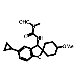 COC1CCC2(CC1)Oc1ccc(C3CC3)cc1C2NC(=O)N(C)C=O